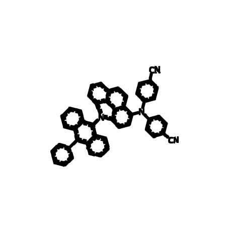 N#Cc1ccc(N(c2ccc(C#N)cc2)c2ccc3c4c2ccc2cccc(c24)n3-c2c3ccccc3c(-c3ccccc3)c3ccccc23)cc1